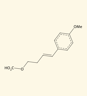 COc1ccc(C=CCCOC(=O)O)cc1